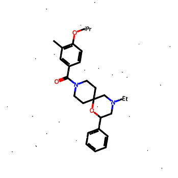 CCN1CC(c2ccccc2)OC2(CCN(C(=O)c3ccc(OC(C)C)c(C)c3)CC2)C1